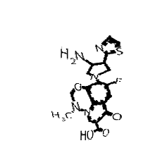 CN1COc2c(N3CC(N)C(c4nccs4)C3)c(F)cc3c(=O)c(C(=O)O)cn1c23